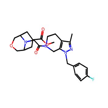 COC(=O)C1CC2COCC(C1)N2CC(=O)N1CCc2c(C)nn(Cc3ccc(F)cc3)c2C1